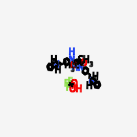 CC(C)(CC(=O)N[C@H]1CC[C@H](CCN2[C@@H]3CC[C@H]2c2ccccc23)CC1)C(=O)N[C@H]1CC[C@H](CCN2[C@@H]3CC[C@H]2c2ccccc23)CC1.O=C(O)C(F)(F)F